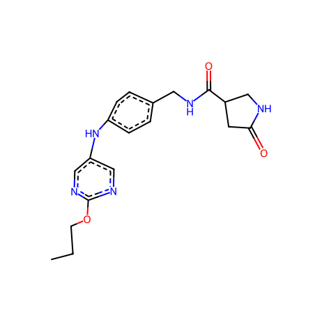 CCCOc1ncc(Nc2ccc(CNC(=O)C3CNC(=O)C3)cc2)cn1